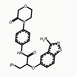 CC(C)CC(Oc1ccc2snc(N)c2c1)C(=O)Nc1ccc(N2CCOCC2=O)cc1